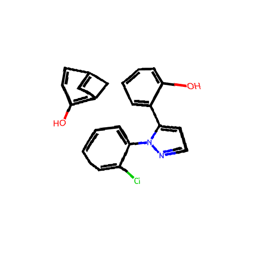 Oc1ccc2cc1C2.Oc1ccccc1-c1ccnn1-c1ccccc1Cl